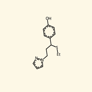 CCSC(CCn1cccn1)c1ccc(O)cc1